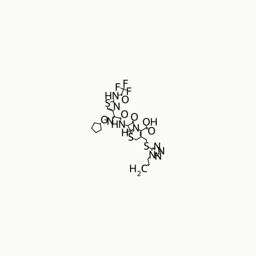 C=CCn1nnnc1SCC1=C(C(=O)O)N2C(=O)C(NC(=O)C(=NOC3CCCC3)c3csc(NC(=O)C(F)(F)F)n3)[C@@H]2SC1